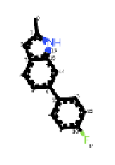 Cc1cc2ccc(-c3ccc(F)cc3)cc2[nH]1